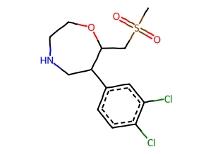 CS(=O)(=O)CC1OCCNCC1c1ccc(Cl)c(Cl)c1